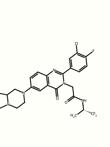 C[C@H](NC(=O)Cn1c(-c2ccc(F)c(Cl)c2)nc2ccc(N3CCN4CCCC4C3)cc2c1=O)C(F)(F)F